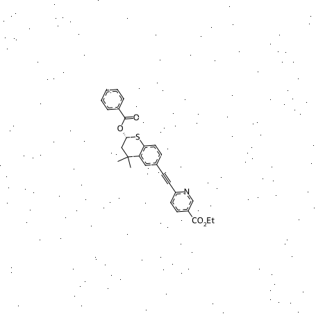 CCOC(=O)c1ccc(C#Cc2ccc3c(c2)C(C)(C)C[C@H](OC(=O)c2ccccc2)S3)nc1